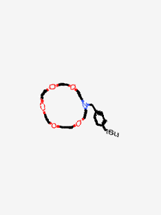 CCC(C)c1ccc(CN2CCOCCOCCOCCOCCOCC2)cc1